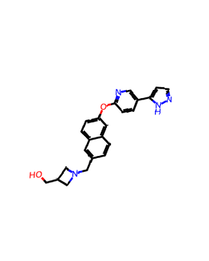 OCC1CN(Cc2ccc3cc(Oc4ccc(-c5ccn[nH]5)cn4)ccc3c2)C1